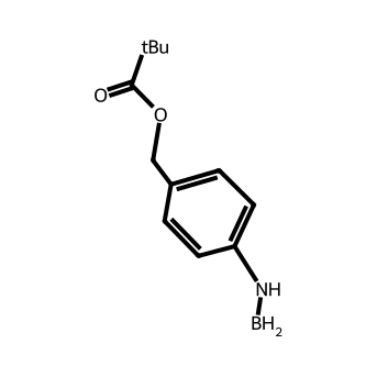 BNc1ccc(COC(=O)C(C)(C)C)cc1